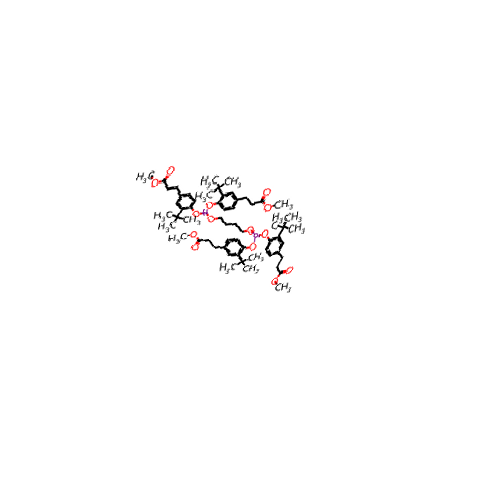 COC(=O)CCc1ccc(OP(OCCCCOP(Oc2ccc(CCC(=O)OC)cc2C(C)(C)C)Oc2ccc(CCC(=O)OC)cc2C(C)(C)C)Oc2ccc(CCC(=O)OC)cc2C(C)(C)C)c(C(C)(C)C)c1